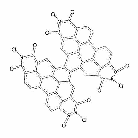 O=c1c2ccc3c4ccc5c(=O)n(Cl)c(=O)c6cc7c8c9cc%10c(=O)n(Cl)c(=O)c%11ccc%12c%13ccc%14c(=O)n(Cl)c(=O)c%15cc(c8c8cc(c(=O)n1Cl)c2c3c8c7c4c56)c(c%13c%14%15)c9c%12c%11%10